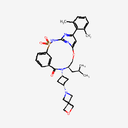 Cc1cccc(C)c1-c1cc2nc(n1)NS(=O)(=O)c1cccc(c1)C(=O)N([C@H]1C[C@@H](N3CC4(COC4)C3)C1)[C@H](CC(C)C)CO2